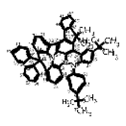 CC(C)(C)c1ccc(N2B3c4cccc5c4-n4c6c(cccc6c6c7c(c(c3c64)-c3cc(C(C)(C)C)ccc32)C(C)(C)c2ccccc2-7)C5(c2ccccc2)c2ccccc2)cc1